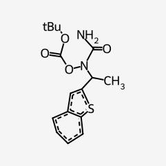 CC(c1cc2ccccc2s1)N(OC(=O)OC(C)(C)C)C(N)=O